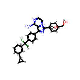 Nc1nccn2c(C34CCC(CO)(CC3)OC4)nc(-c3ccc(C(F)(F)c4cccc(C5CC5)c4)cc3)c12